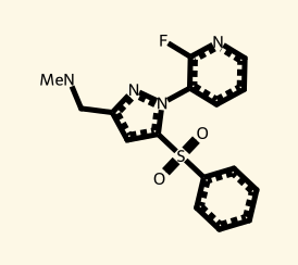 CNCc1cc(S(=O)(=O)c2ccccc2)n(-c2cccnc2F)n1